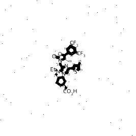 CCN(C[C@H]1CC[C@H](CC(=O)O)CC1)c1ncc(-c2cc(C)cs2)nc1CN1C(=O)OC(c2cc(C(F)(F)F)cc(C(F)(F)F)c2)[C@@H]1C